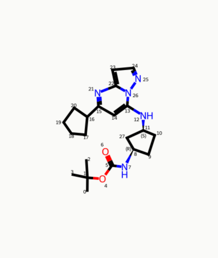 CC(C)(C)OC(=O)N[C@@H]1CC[C@H](Nc2cc(C3CCCC3)nc3ccnn23)C1